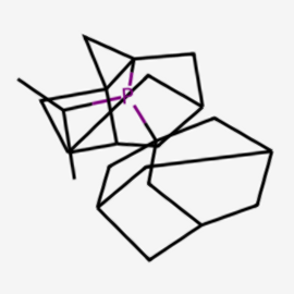 CC(C)P(C12CC3CC(CC(C3)C1)C2)C12CC3CC4CC1(C2)C4C3